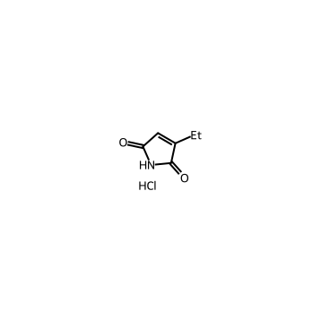 CCC1=CC(=O)NC1=O.Cl